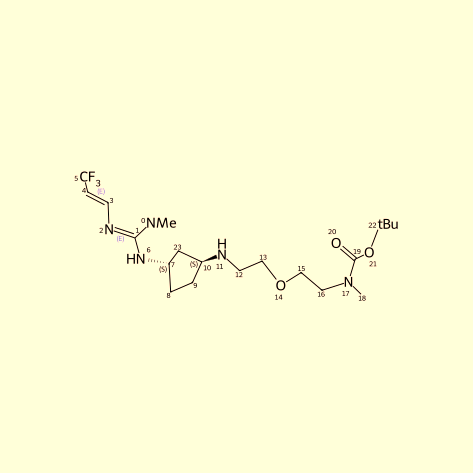 CN/C(=N\C=C\C(F)(F)F)N[C@H]1CC[C@H](NCCOCCN(C)C(=O)OC(C)(C)C)C1